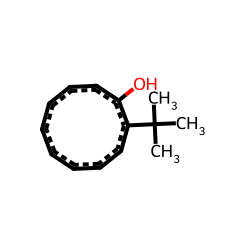 CC(C)(C)c1ccccccccc1O